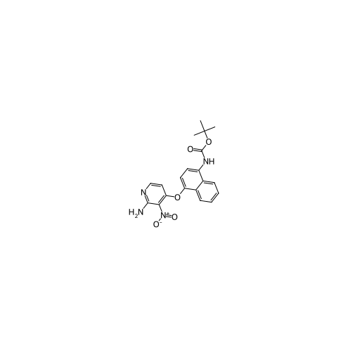 CC(C)(C)OC(=O)Nc1ccc(Oc2ccnc(N)c2[N+](=O)[O-])c2ccccc12